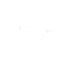 NC(=O)Cc1cccc(C(F)F)c1F